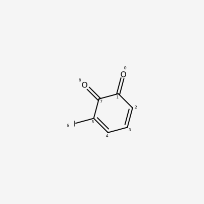 O=C1C=CC=C(I)C1=O